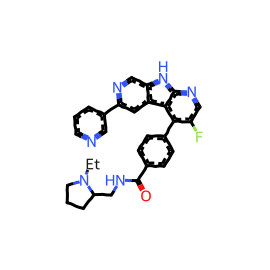 CCN1CCCC1CNC(=O)c1ccc(-c2c(F)cnc3[nH]c4cnc(-c5cccnc5)cc4c23)cc1